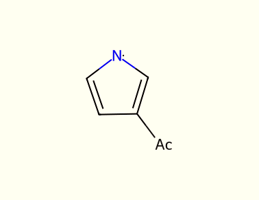 CC(=O)C1=C[N]C=C1